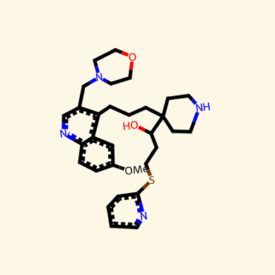 COc1ccc2ncc(CN3CCOCC3)c(CCCC3(C(O)CCSc4ccccn4)CCNCC3)c2c1